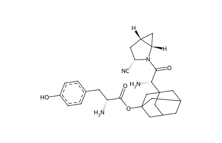 N#C[C@@H]1C[C@@H]2C[C@@H]2N1C(=O)[C@@H](N)C12CC3CC(CC(OC(=O)[C@H](N)Cc4ccc(O)cc4)(C3)C1)C2